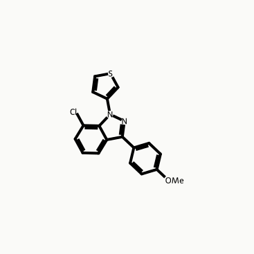 COc1ccc(-c2nn(-c3ccsc3)c3c(Cl)cccc23)cc1